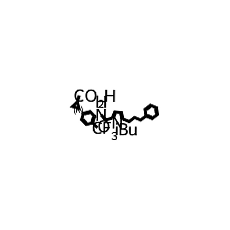 CCC(C)n1c(CCCc2ccccc2)ccc1C(=O)Nc1cc([C@@H]2CC2C(=O)O)ccc1C(F)(F)F